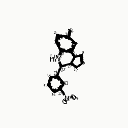 Cc1ccc2c(c1)C1C=CCC1C(c1cccc([N+](=O)[O-])c1)N2